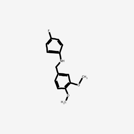 COc1ccc(CNc2ccc(F)cc2)cc1OC